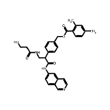 Cc1ccc(C(=O)OCc2ccc(C(CNC(=O)CCO)C(=O)Nc3ccc4cnccc4c3)cc2)c(C)c1